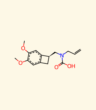 C=CCN(C[C@H]1Cc2cc(OC)c(OC)cc21)C(=O)O